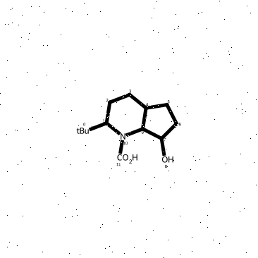 CC(C)(C)C1CCC2CCC(O)C2N1C(=O)O